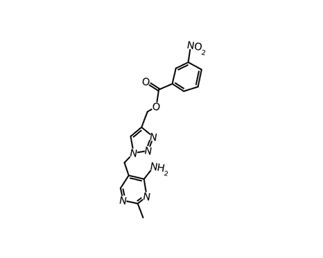 Cc1ncc(Cn2cc(COC(=O)c3cccc([N+](=O)[O-])c3)nn2)c(N)n1